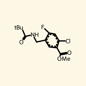 COC(=O)c1cc(CNC(=O)C(C)(C)C)c(F)cc1Cl